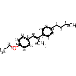 CCCCc1ccc(/C(C)=C/c2ccc(OCC)cc2)cc1